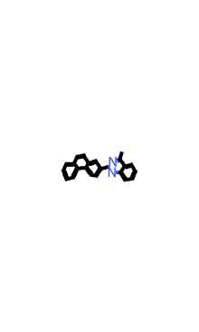 Cc1nc(-c2ccc3c(ccc4ccccc43)c2)nc2ccccc12